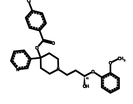 COc1ccccc1O[C@H](O)CCN1CCC(OC(=O)c2ccc(Cl)cc2)(c2cccnc2)CC1